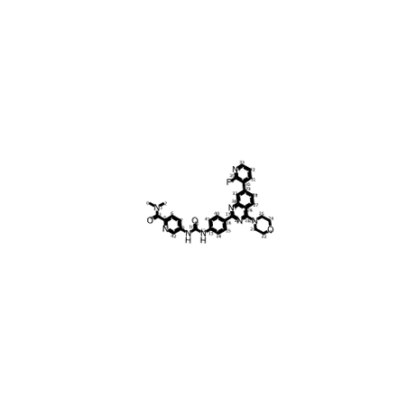 CN(C)C(=O)c1ccc(NC(=O)Nc2ccc(-c3nc(N4CCOCC4)c4ccc(-c5cccnc5F)cc4n3)cc2)cn1